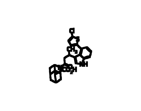 CC(CC(=O)N1C2CC3CC(C2)C(C(=O)O)C1C3)c1c[nH]c2cccc(-c3ccc(Cl)s3)c12